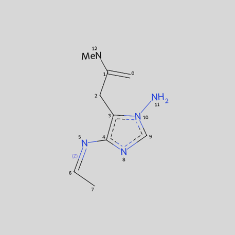 C=C(Cc1c(/N=C\C)ncn1N)NC